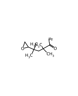 CC(C)C(=O)C(C)(C)CC(C)(C)C1CO1